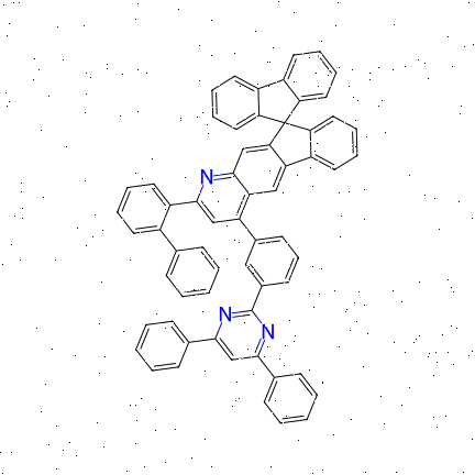 c1ccc(-c2cc(-c3ccccc3)nc(-c3cccc(-c4cc(-c5ccccc5-c5ccccc5)nc5cc6c(cc45)-c4ccccc4C64c5ccccc5-c5ccccc54)c3)n2)cc1